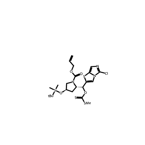 C=CCOC(=O)N1C[C@H](O[Si](C)(C)C(C)(C)C)C[C@H]1C(OC(=S)SC)c1cn2c(Cl)ncc2s1